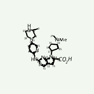 CC1CN(c2ccc(Nc3ncc4cc(C(=O)O)n(C5CCCC5)c4n3)nc2)CCN1.CNC